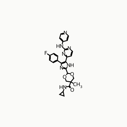 CC1(C(=O)NC2CC2)COC(c2nc(-c3ccc(F)cc3)c(-c3ccnc(Nc4ccncc4)n3)[nH]2)OC1